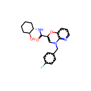 O=C(N[C@H]1CCCC[C@@H]1O)C1=CN(Cc2ccc(F)cc2)c2ncccc2O1